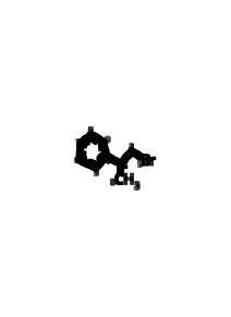 C[C](CBr)c1ccccc1